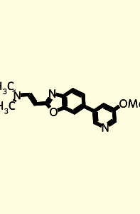 COc1cncc(-c2ccc3nc(C=CN(C)C)oc3c2)c1